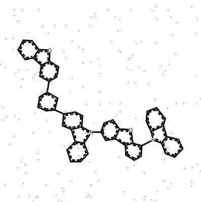 c1cc(-c2ccc3oc4ccccc4c3c2)cc(-c2ccc3c(c2)c2ccccc2n3-c2ccc3oc4c(-n5c6ccccc6c6ccccc65)cccc4c3c2)c1